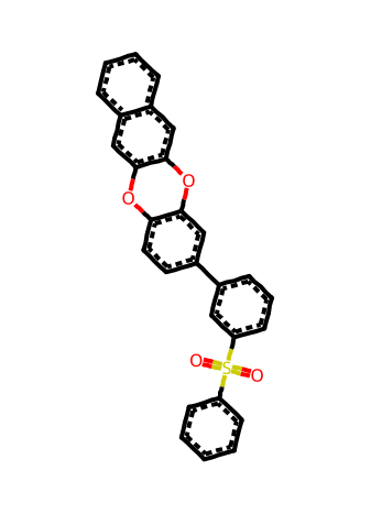 O=S(=O)(c1ccccc1)c1cccc(-c2ccc3c(c2)Oc2cc4ccccc4cc2O3)c1